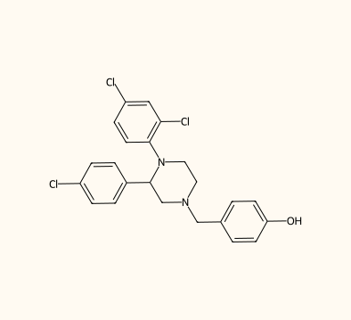 Oc1ccc(CN2CCN(c3ccc(Cl)cc3Cl)C(c3ccc(Cl)cc3)C2)cc1